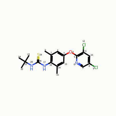 Cc1cc(Oc2ncc(Cl)cc2Cl)cc(C)c1NC(=S)NC(C)(C)C